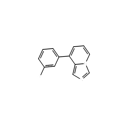 Clc1cccc(-c2cccn3cncc23)c1